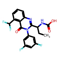 CCC(NC(=O)O)c1nc2cccc(C(F)F)c2c(=O)n1-c1cc(F)cc(F)c1